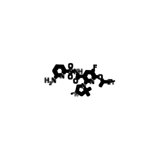 CC(C)C(C)Oc1nc(N2C[C@@H](C)CC2(C)C)c(C(=O)NS(=O)(=O)c2cccc(N)n2)cc1F